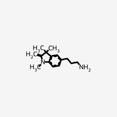 C=C1N(C)c2ccc(CCCN)cc2C1(C)C